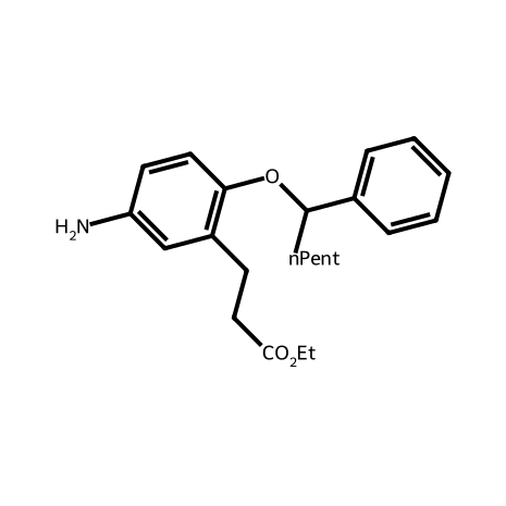 CCCCCC(Oc1ccc(N)cc1CCC(=O)OCC)c1ccccc1